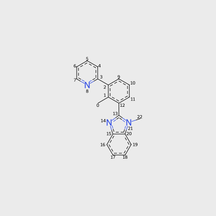 Cc1c(-c2ccccn2)cccc1-c1nc2ccccc2n1C